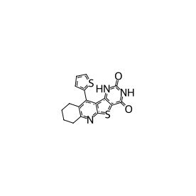 O=c1[nH]c(=O)c2sc3nc4c(c(-c5cccs5)c3c2[nH]1)CCCC4